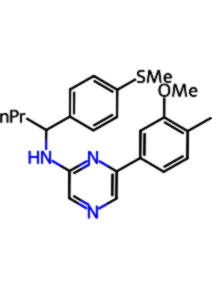 CCCC(Nc1cncc(-c2ccc(C)c(OC)c2)n1)c1ccc(SC)cc1